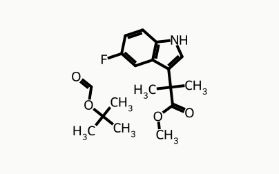 CC(C)(C)OC=O.COC(=O)C(C)(C)c1c[nH]c2ccc(F)cc12